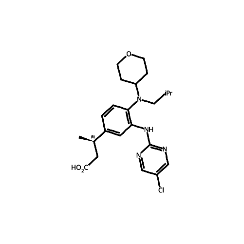 CC(C)CN(c1ccc([C@H](C)CC(=O)O)cc1Nc1ncc(Cl)cn1)C1CCOCC1